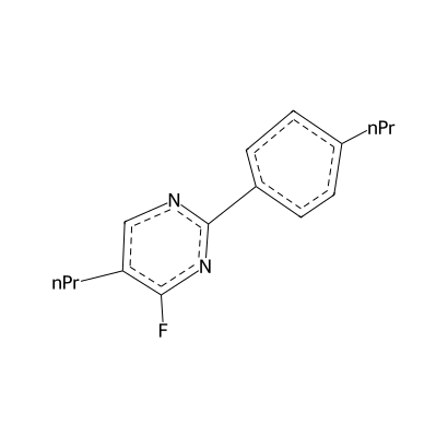 CCCc1ccc(-c2ncc(CCC)c(F)n2)cc1